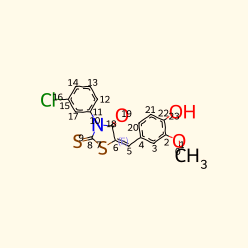 COc1cc(/C=C2/SC(=S)N(c3cccc(Cl)c3)C2=O)ccc1O